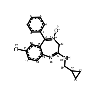 [O-][N+]1=C(c2ccccc2)c2cc(Cl)ccc2N=C(NCC2CC2)C1